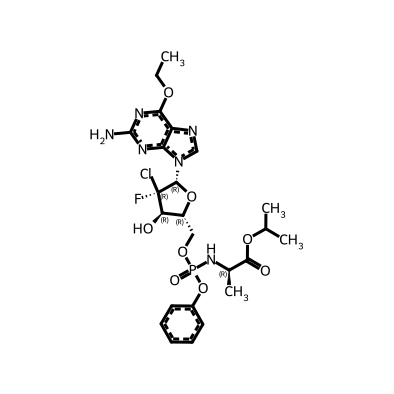 CCOc1nc(N)nc2c1ncn2[C@@H]1O[C@H](COP(=O)(N[C@H](C)C(=O)OC(C)C)Oc2ccccc2)[C@@H](O)[C@@]1(F)Cl